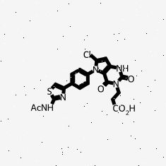 CC(=O)Nc1nc(-c2ccc(-n3c(Cl)cc4[nH]c(=O)n(CCC(=O)O)c(=O)c43)cc2)cs1